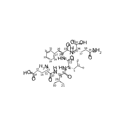 CC(C)C[C@H](NC(=O)[C@@H](NC(=O)[C@@H](N)CCC(=O)O)C(C)C)C(=O)N[C@@H](Cc1ccccc1)C(=O)N[C@@H](CCC(N)=O)C(=O)O